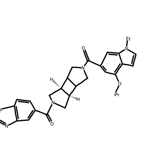 CCn1ccc2c(OC(C)C)cc(C(=O)N3CC4C(C3)[C@@H]3CN(C(=O)c5ccc6[nH]nnc6c5)C[C@H]43)cc21